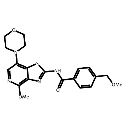 COCc1ccc(C(=O)Nc2nc3c(OC)ncc(N4CCOCC4)c3s2)cc1